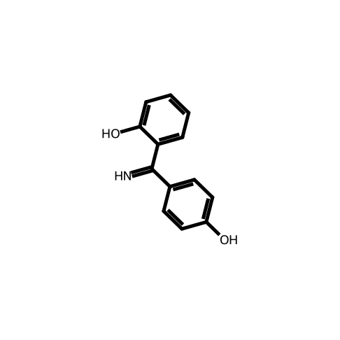 N=C(c1ccc(O)cc1)c1ccccc1O